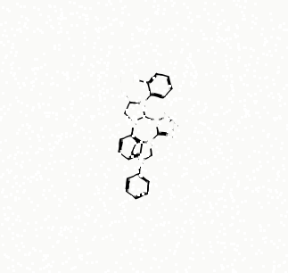 C[C@@H]1CN(c2ccccc2)C(n2nnnc2N2CCN(c3ccccc3)C2)N1c1ccccc1P